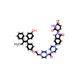 CC/C(=C(/c1ccc(O)cc1)c1ccc(OCCN2CCN(C(=O)N3CCN(c4ccc5c(c4)CN(C4CCC(=O)NC4=O)C5=O)CC3)CC2)cc1)c1ccccc1